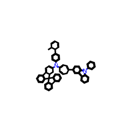 CC1C=CC=CC1c1ccc(N(C2=CC=C(c3ccc4c(c3)c3ccccc3n4-c3ccccc3)CC=C2)C2=CC=C3c4ccccc4C4(c5ccccc5-c5ccccc54)C3C2)cc1